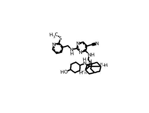 CSc1ncccc1CNc1ncc(C#N)c(NC[C@]23CC4C[C@H](C2)[C@@H](NC2CCC(O)CC2)[C@@H](C4)C3)n1